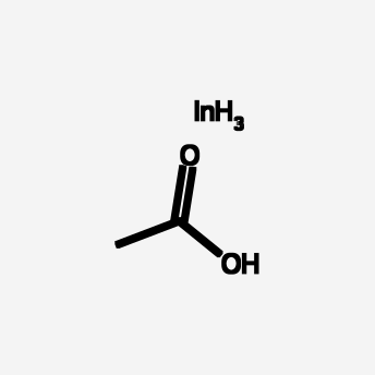 CC(=O)O.[InH3]